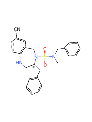 CN(Cc1ccccc1)S(=O)(=O)N1Cc2cc(C#N)ccc2NC[C@H]1Cc1ccccc1